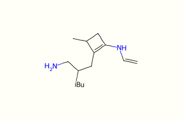 C=CNC1=C(CC(CN)C(C)CC)C(C)C1